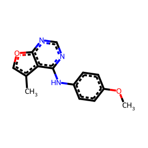 COc1ccc(Nc2ncnc3occ(C)c23)cc1